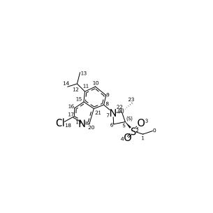 CCS(=O)(=O)[C@H]1CN(c2ccc(C(C)C)c3cc(Cl)ncc23)[C@@H]1C